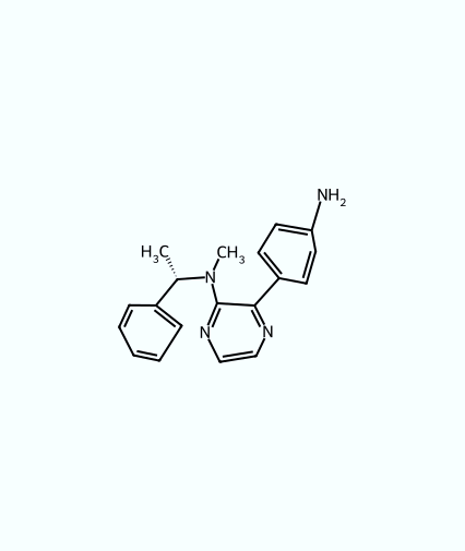 C[C@@H](c1ccccc1)N(C)c1nccnc1-c1ccc(N)cc1